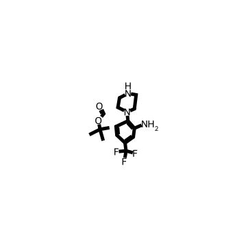 CC(C)(C)OC=O.Nc1cc(C(F)(F)F)ccc1N1CCNCC1